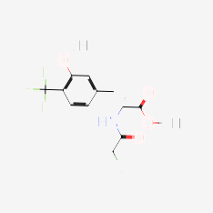 COC(=O)[C@@H](Cc1ccc(C(F)(F)F)c(OC)c1)NC(=O)CCl